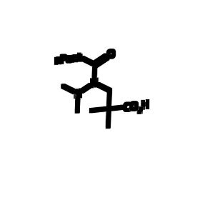 CCCCCC(=O)N(CC(C)(C)C(=O)O)N(C)C